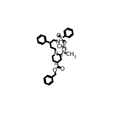 CN[C@H]1C[C@@H](C(=O)OCc2ccccc2)CCN1CCC(CN(C)S(=O)(=O)c1ccccc1)c1ccccc1